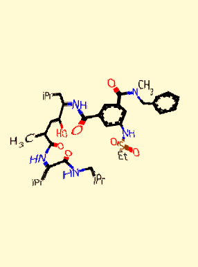 CCS(=O)(=O)Nc1cc(C(=O)NC(CC(C)C)C(O)CC(C)C(=O)NC(C(=O)NCC(C)C)C(C)C)cc(C(=O)N(C)Cc2ccccc2)c1